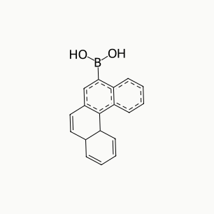 OB(O)c1cc2c(c3ccccc13)C1C=CC=CC1C=C2